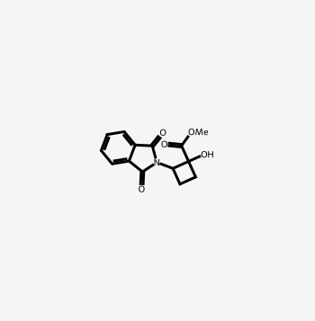 COC(=O)C1(O)CCC1N1C(=O)c2ccccc2C1=O